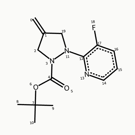 C=C1CN(C(=O)OC(C)(C)C)N(c2ncccc2F)C1